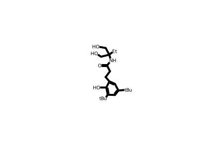 CCC(CO)(CO)NC(=O)CCc1cc(C(C)(C)C)cc(C(C)(C)C)c1O